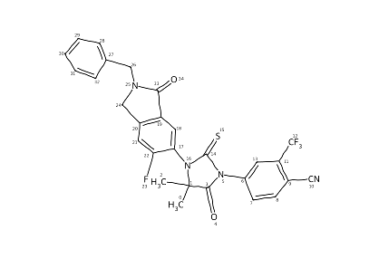 CC1(C)C(=O)N(c2ccc(C#N)c(C(F)(F)F)c2)C(=S)N1c1cc2c(cc1F)CN(Cc1ccccc1)C2=O